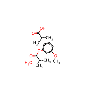 CC(C)C(=O)O.CC(C)C(=O)O.COc1ccccc1.O